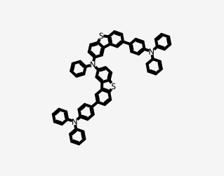 C1=CCC(N(c2ccccc2)c2ccc(-c3ccc4sc5ccc(N(c6ccccc6)c6ccc7sc8ccc(-c9ccc(N(c%10ccccc%10)c%10ccccc%10)cc9)cc8c7c6)cc5c4c3)cc2)C=C1